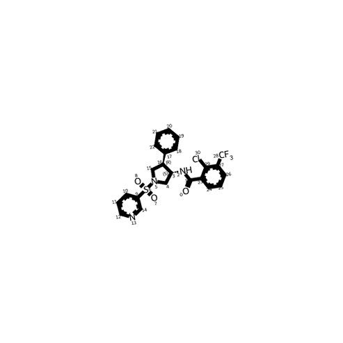 O=C(N[C@@H]1CN(S(=O)(=O)c2cccnc2)C[C@H]1c1ccccc1)c1cccc(C(F)(F)F)c1Cl